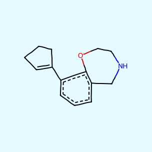 C1=C(c2cccc3c2OCCNC3)CCC1